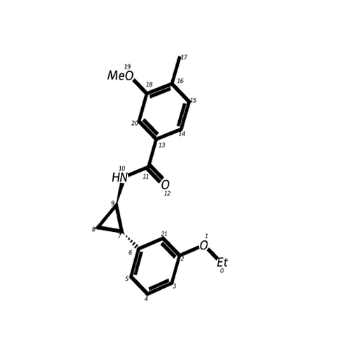 CCOc1cccc([C@@H]2C[C@H]2NC(=O)c2ccc(C)c(OC)c2)c1